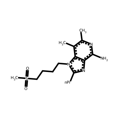 CCCc1nc2c(N)nc(C)c(C)c2n1CCCCS(C)(=O)=O